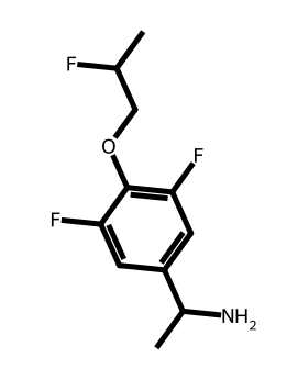 CC(F)COc1c(F)cc(C(C)N)cc1F